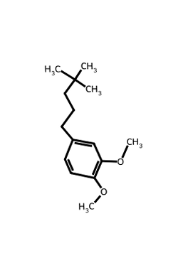 COc1ccc(CCCC(C)(C)C)cc1OC